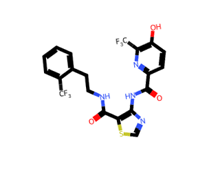 O=C(Nc1ncsc1C(=O)NCCc1ccccc1C(F)(F)F)c1ccc(O)c(C(F)(F)F)n1